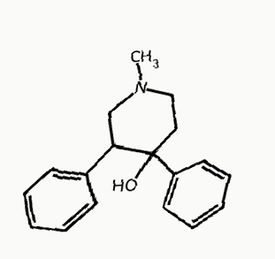 CN1CCC(O)(c2ccccc2)C(c2ccccc2)C1